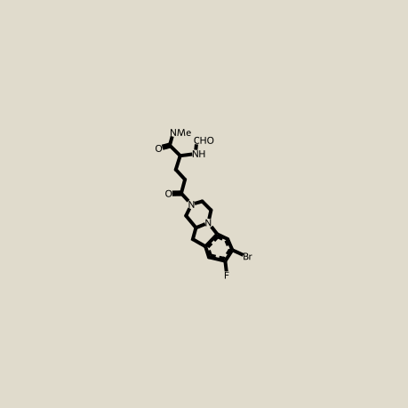 CNC(=O)C(CCC(=O)N1CCN2c3cc(Br)c(F)cc3CC2C1)NC=O